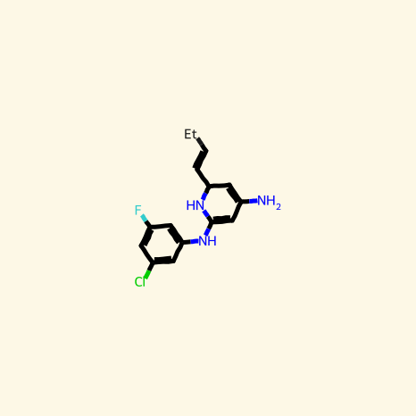 CC/C=C/C1C=C(N)C=C(Nc2cc(F)cc(Cl)c2)N1